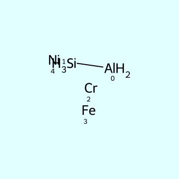 [AlH2][SiH3].[Cr].[Fe].[Ni]